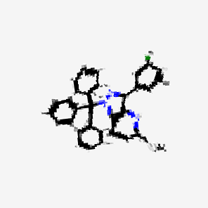 CC(=O)Oc1ccc2c(n1)c(-c1cccc(F)c1)nn2C(c1ccccc1)(c1ccccc1)c1ccccc1